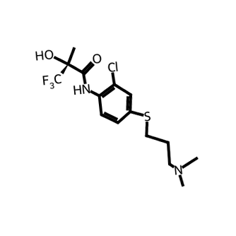 CN(C)CCCSc1ccc(NC(=O)[C@@](C)(O)C(F)(F)F)c(Cl)c1